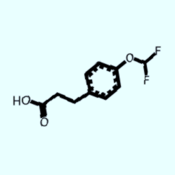 O=C(O)CCc1ccc(OC(F)F)cc1